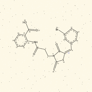 O=C(CCN1C(=O)/C(=C\c2cccc(Br)c2)SC1=S)Nc1ccccc1C(=O)O